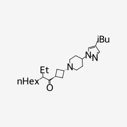 CCCCCCC(CC)C(=O)[C@H]1C[C@H](N2CCC(n3cc(C(C)CC)cn3)CC2)C1